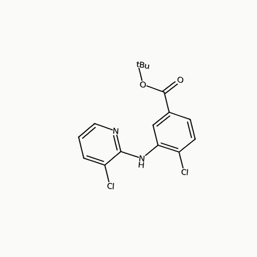 CC(C)(C)OC(=O)c1ccc(Cl)c(Nc2ncccc2Cl)c1